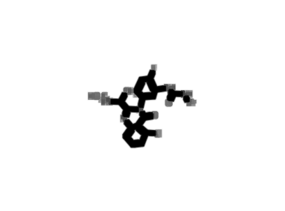 CC(C)NC(=O)Nc1cc(-n2c(C(C)NC(=O)O)nc3cccc(Cl)c3c2=O)ccc1F